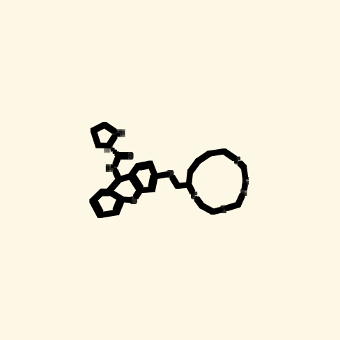 O=C(NC1c2ccccc2Oc2cc(OCC3CCCCCCCCCCCCC3)ccc21)[C@@H]1CCCN1